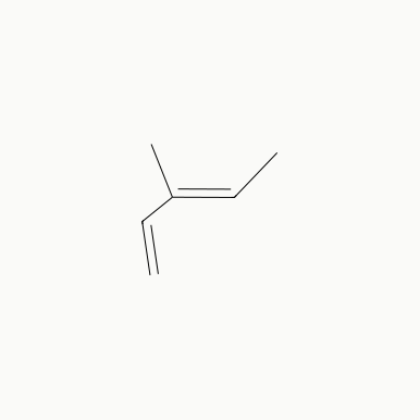 C=CC(C)=CC